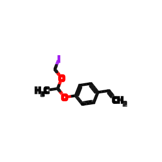 C=Cc1ccc(OC(C)OCI)cc1